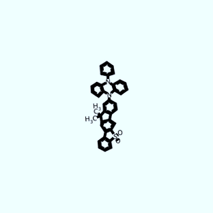 CC1(C)c2cc(N3c4ccccc4N(c4ccccc4)c4ccccc43)ccc2-c2cc3c(cc21)-c1ccccc1S3(=O)=O